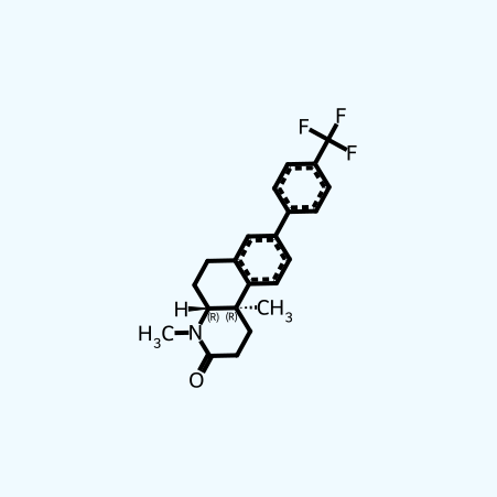 CN1C(=O)CC[C@]2(C)c3ccc(-c4ccc(C(F)(F)F)cc4)cc3CC[C@@H]12